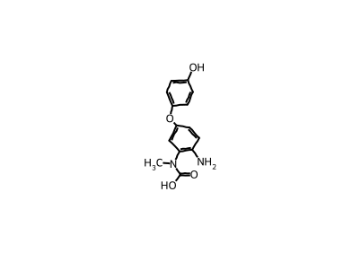 CN(C(=O)O)c1cc(Oc2ccc(O)cc2)ccc1N